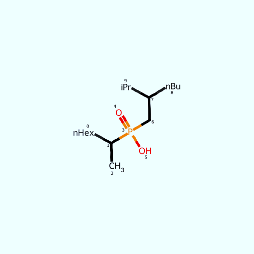 CCCCCCC(C)P(=O)(O)CC(CCCC)C(C)C